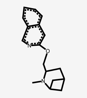 CN1C(COc2cc3ccccc3cn2)CC2CC1C2